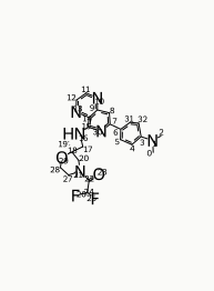 CN(C)c1ccc(-c2cc3nccnc3c(NC[C@@]3(C)CN(C(=O)C(F)F)CCO3)n2)cc1